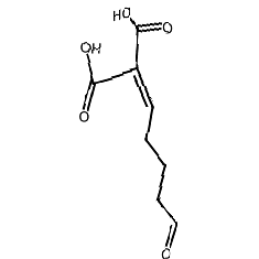 O=CCCCC=C(C(=O)O)C(=O)O